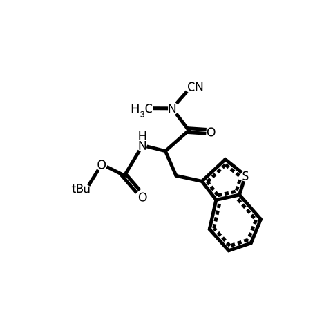 CN(C#N)C(=O)C(Cc1csc2ccccc12)NC(=O)OC(C)(C)C